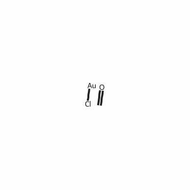 C=O.[Cl][Au]